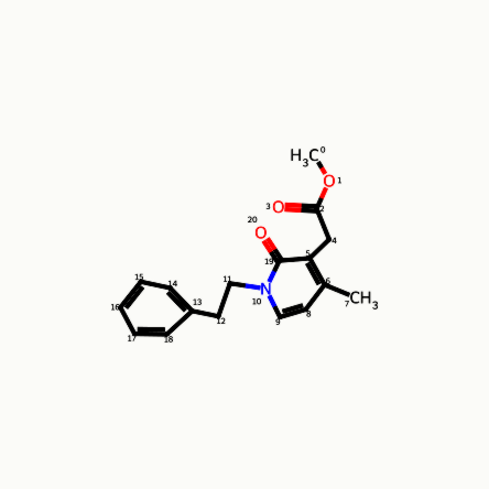 COC(=O)Cc1c(C)ccn(CCc2ccccc2)c1=O